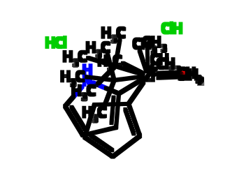 C[C](C)(C)[Zr]([CH3])([CH3])([CH3])([CH3])([CH3])([CH3])(=[SiH2])([C]1=CC=CC1)([c]1ccc[nH]1)[C](C)(C)C.Cl.Cl